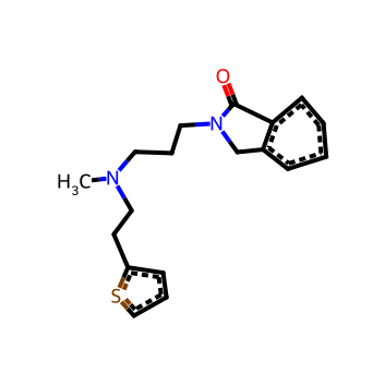 CN(CCCN1Cc2ccccc2C1=O)CCc1cccs1